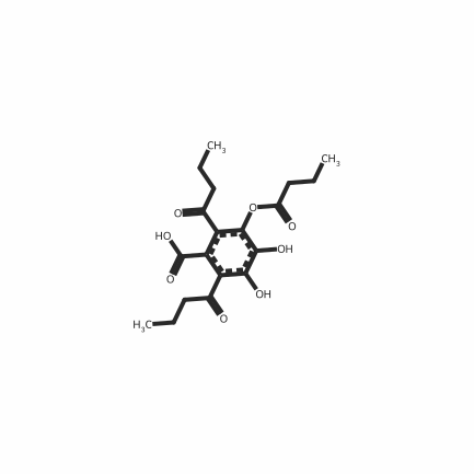 CCCC(=O)Oc1c(O)c(O)c(C(=O)CCC)c(C(=O)O)c1C(=O)CCC